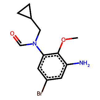 COc1c(N)cc(Br)cc1N(C=O)CC1CC1